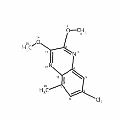 COc1nc2cc(Cl)cc(C)c2nc1OC